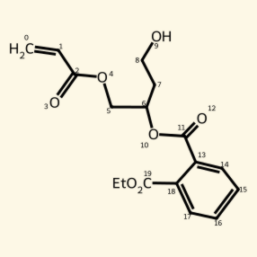 C=CC(=O)OCC(CCO)OC(=O)c1ccccc1C(=O)OCC